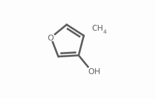 C.Oc1ccoc1